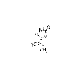 CCC(C)C1=NC(=O)N=N1